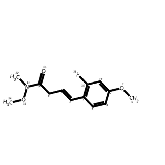 COc1ccc(C=CCC(=O)N(C)OC)c(F)c1